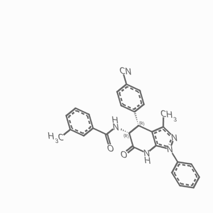 Cc1cccc(C(=O)N[C@H]2C(=O)Nc3c(c(C)nn3-c3ccccc3)[C@H]2c2ccc(C#N)cc2)c1